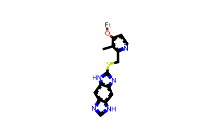 CCOc1ccnc(CSc2nc3cc4[nH]cnc4cc3[nH]2)c1C